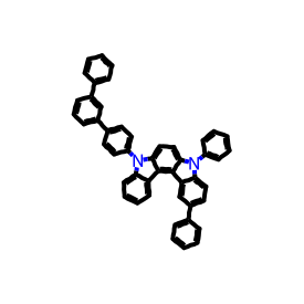 c1ccc(-c2cccc(-c3ccc(-n4c5ccccc5c5c6c7cc(-c8ccccc8)ccc7n(-c7ccccc7)c6ccc54)cc3)c2)cc1